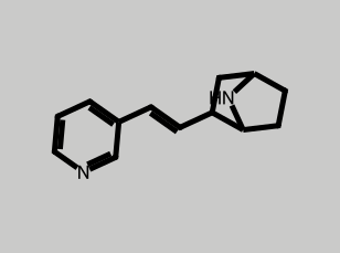 C(=C\C1CC2CCC1N2)/c1cccnc1